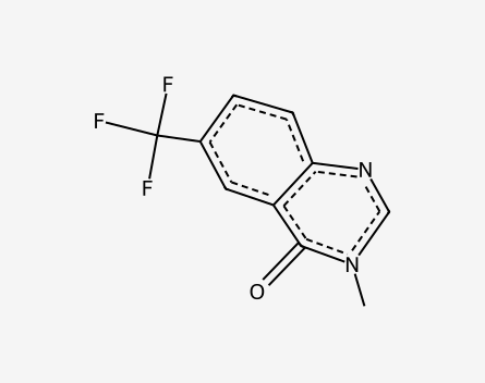 Cn1cnc2ccc(C(F)(F)F)cc2c1=O